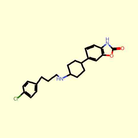 O=c1[nH]c2ccc(C3CCC(NCCCc4ccc(Cl)cc4)CC3)cc2o1